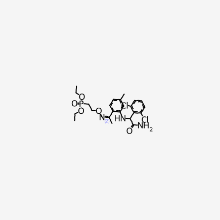 CCOP(=O)(CCO/N=C(/C)c1ccc(C)cc1NC(C(N)=O)c1c(Cl)cccc1Cl)OCC